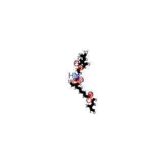 CCC(C)CC(C)OC(=O)CCCCCC(C)(CC)OC(=O)NCCOC(=O)C(C)(C=C(C)C)C(C)C